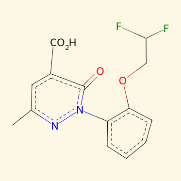 Cc1cc(C(=O)O)c(=O)n(-c2ccccc2OCC(F)F)n1